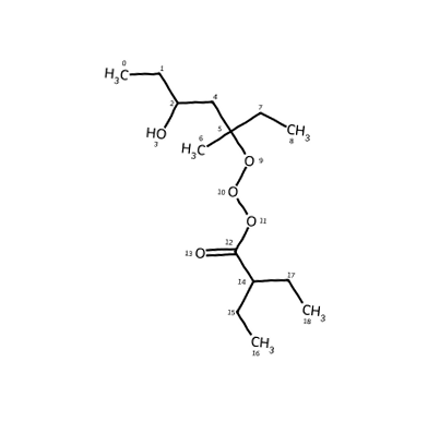 CCC(O)CC(C)(CC)OOOC(=O)C(CC)CC